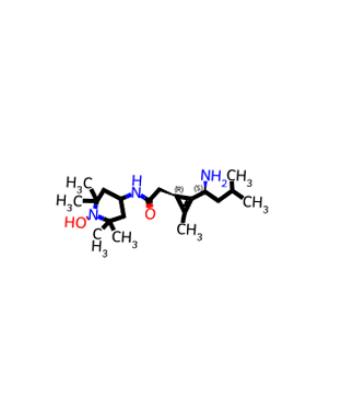 CC1=C([C@@H](N)CC(C)C)[C@@H]1CC(=O)NC1CC(C)(C)N(O)C(C)(C)C1